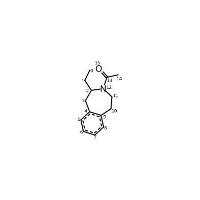 CCC1Cc2ccccc2CCN1C(C)=O